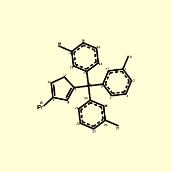 Cc1cccc(C(C2=CC(C(C)C)=CC2)(c2cccc(C)c2)c2cccc(C)c2)c1